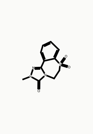 Cn1nc2n(c1=O)CCS(=O)(=O)c1ccccc1-2